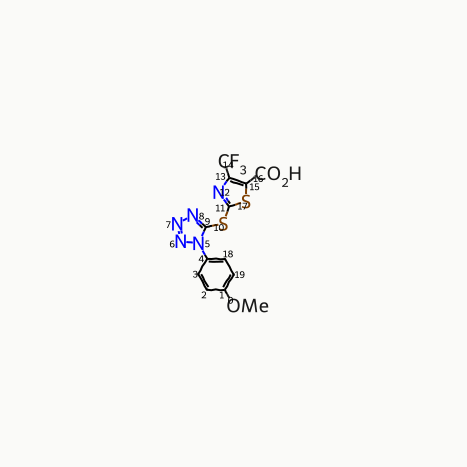 COc1ccc(-n2nnnc2Sc2nc(C(F)(F)F)c(C(=O)O)s2)cc1